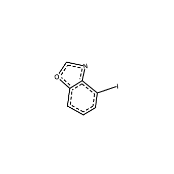 Ic1cccc2ocnc12